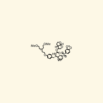 COCCN(CCOC)CCOc1ccc(C[C@H](NC(=O)O[C@H]2CO[C@H]3OCC[C@H]32)[C@H](O)CN(CC(C)C)S(=O)(=O)c2ccc3c(c2)OCO3)cc1